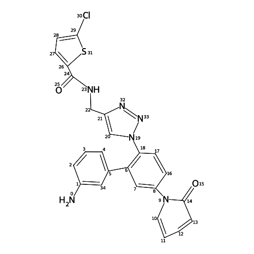 Nc1cccc(-c2cc(-n3ccccc3=O)ccc2-n2cc(CNC(=O)c3ccc(Cl)s3)nn2)c1